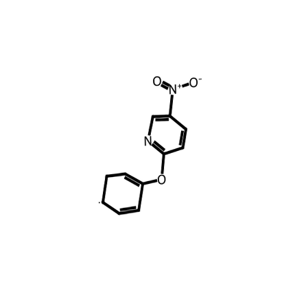 O=[N+]([O-])c1ccc(OC2=CC[CH]C=C2)nc1